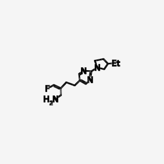 CCC1CCN(c2ncc(CC/C(=C/F)CN)cn2)C1